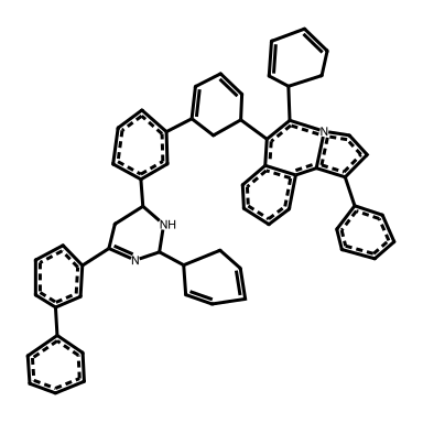 C1=CCC(c2c(C3C=CC=C(c4cccc(C5CC(c6cccc(-c7ccccc7)c6)=NC(C6C=CC=CC6)N5)c4)C3)c3ccccc3c3c(-c4ccccc4)ccn23)C=C1